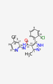 Cc1n[nH]c(-c2ccccc2Cl)c1C(=O)Nc1cc(C(F)(F)F)ccn1